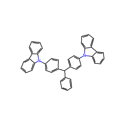 c1ccc(C(c2ccc(-n3c4ccccc4c4ccccc43)cc2)c2ccc(-n3c4ccccc4c4ccccc43)cc2)cc1